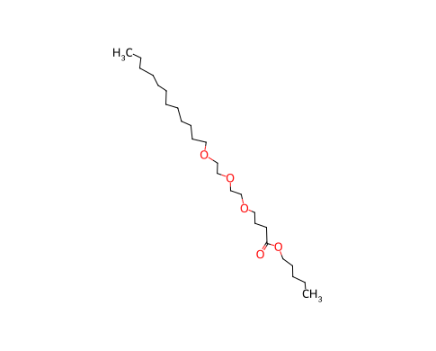 CCCCCCCCCCCCOCCOCCOCCCC(=O)OCCCCC